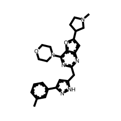 Cc1cccc(-c2cc(Cc3nc(N4CCOCC4)c4oc(C5CCN(C)C5)cc4n3)[nH]n2)c1